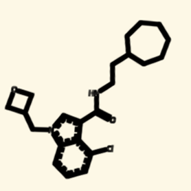 O=C(NCCC1CCCCCC1)c1cn(CC2COC2)c2cccc(Cl)c12